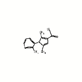 Cc1cc(C(=O)Cl)c(C)n1-c1ccccc1C(F)(F)F